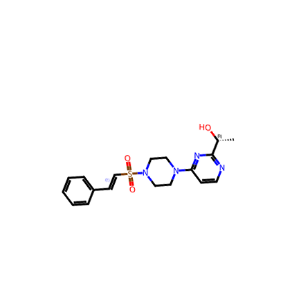 C[C@@H](O)c1nccc(N2CCN(S(=O)(=O)/C=C/c3ccccc3)CC2)n1